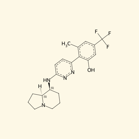 Cc1cc(C(F)(F)F)cc(O)c1-c1ccc(N[C@H]2CCCN3CCC[C@@H]23)nn1